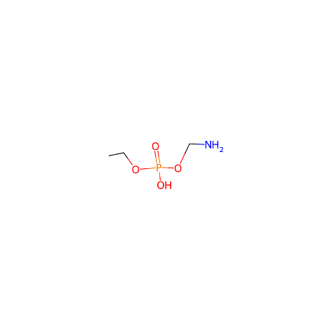 CCOP(=O)(O)OCN